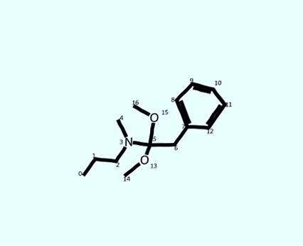 CCCN(C)C(Cc1ccccc1)(OC)OC